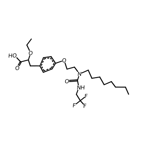 CCCCCCCCN(CCOc1ccc(CC(OCC)C(=O)O)cc1)C(=O)NCC(F)(F)F